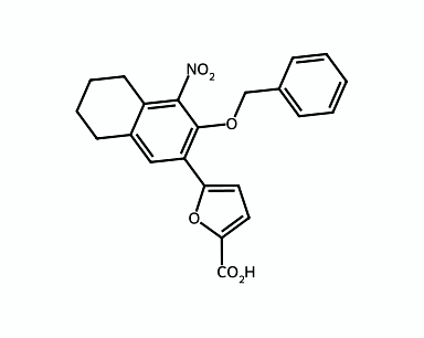 O=C(O)c1ccc(-c2cc3c(c([N+](=O)[O-])c2OCc2ccccc2)CCCC3)o1